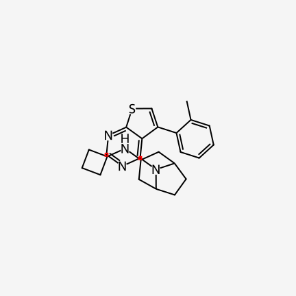 Cc1ccccc1-c1csc2ncnc(N3C4CCC3CC(NC3CCC3)C4)c12